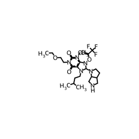 CCOCCn1c(=O)c2c(n(C)c1=O)N(OC(=O)C(F)(F)F)C(N1CCC3CNCC31)N2CCC(C)C